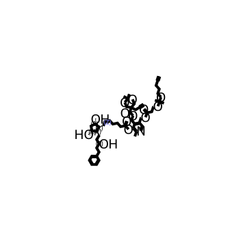 C#CCCCOC(C)(C)OCCC(=O)OCc1cnc(C)c(OC(=O)CCC/C=C\C[C@@H]2[C@@H](CC[C@@H](O)CCc3ccccc3)[C@H](O)C[C@@H]2O)c1COC(=O)C1(CC#C)COC(C)(C)OC1